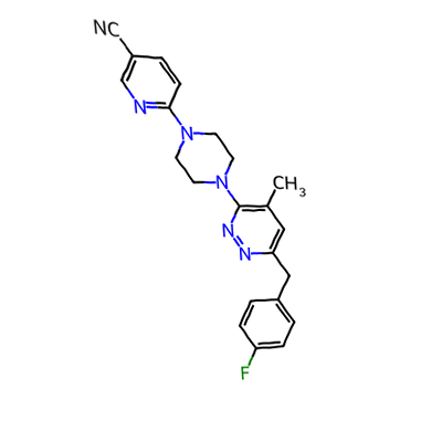 Cc1cc(Cc2ccc(F)cc2)nnc1N1CCN(c2ccc(C#N)cn2)CC1